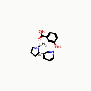 CN1CCC[C@H]1c1cccnc1.O=C(O)c1cccc(O)c1